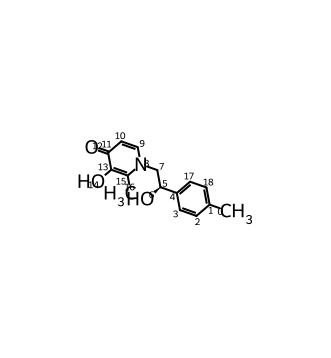 Cc1ccc([C@@H](O)Cn2ccc(=O)c(O)c2C)cc1